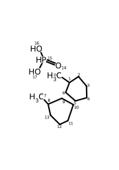 CC1CCCCC1.CC1CCCCC1.O=[PH](O)O